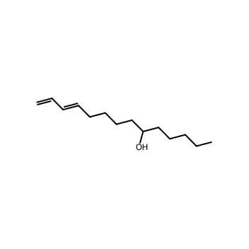 C=CC=CCCCCC(O)CCCCC